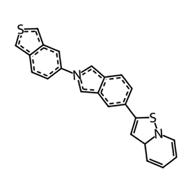 C1=CC2C=C(c3ccc4cn(-c5ccc6cscc6c5)cc4c3)SN2C=C1